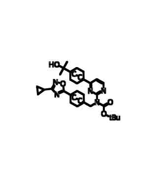 CC(C)(C)OC(=O)N(CC12CCC(c3nc(C4CC4)no3)(CC1)CC2)c1nccc(C23CCC(C(C)(C)O)(CC2)CC3)n1